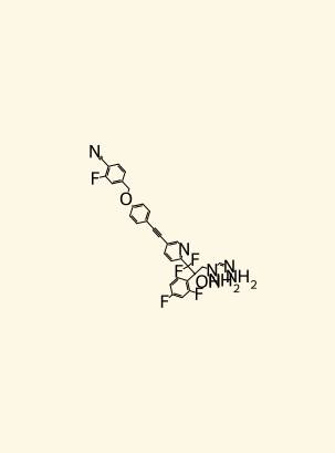 N#Cc1ccc(COc2ccc(C#Cc3ccc(C(F)(F)C(O)(CN(N)/C=N\N)c4ccc(F)cc4F)nc3)cc2)cc1F